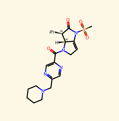 CC(C)[C@H]1C(=O)N(S(C)(=O)=O)C2=CCN(C(=O)c3cnc(CN4CCCCC4)cn3)[C@@H]21